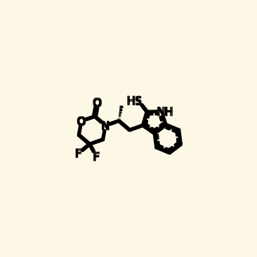 C[C@H](Cc1c(S)[nH]c2ccccc12)N1CC(F)(F)COC1=O